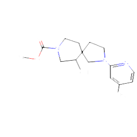 CC1CN(C(=O)OC(C)(C)C)CCC12CCN(c1cc(C(F)(F)F)ccn1)C2